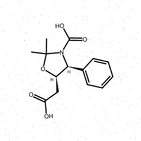 CC1(C)O[C@H](CC(=O)O)[C@H](c2ccccc2)N1C(=O)O